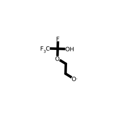 [O]CCOC(O)(F)C(F)(F)F